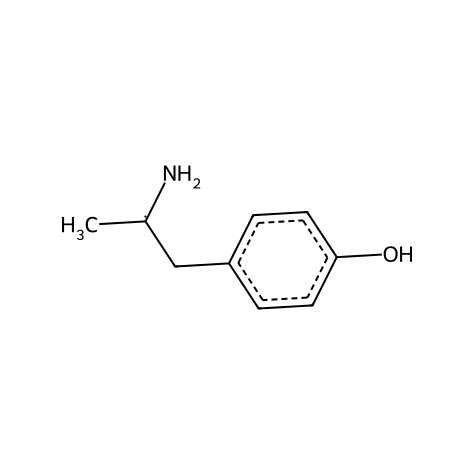 C[C](N)Cc1ccc(O)cc1